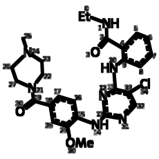 CCNC(=O)c1ccccc1Nc1nc(Nc2ccc(C(=O)N3CCN(C)CC3)cc2OC)ncc1Cl